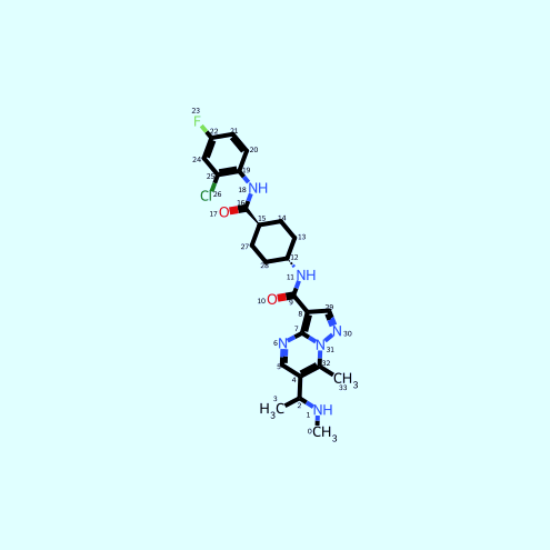 CNC(C)c1cnc2c(C(=O)N[C@H]3CC[C@H](C(=O)Nc4ccc(F)cc4Cl)CC3)cnn2c1C